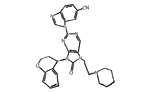 N#Cc1ccc2ncn(-c3ncc4c(n3)n([C@@H]3CCOc5ccccc53)c(=O)n4CCN3CCCCC3)c2c1